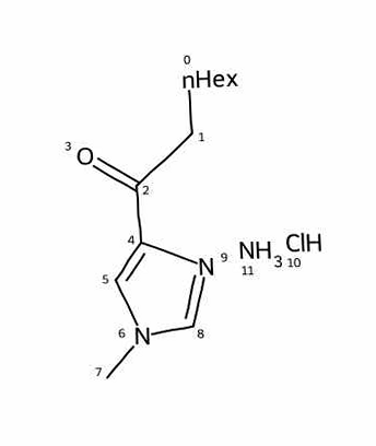 CCCCCCCC(=O)c1cn(C)cn1.Cl.N